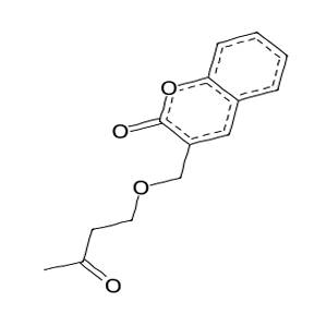 CC(=O)CCOCc1cc2ccccc2oc1=O